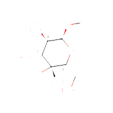 CO[C@H]1O[C@H](CO)[C@](C)(O)[C@H](O)[C@H]1O